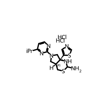 CC(C)c1ccnc(N2C[C@H]3CSC(N)N[C@@]3(c3cncs3)C2)n1.Cl.Cl